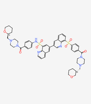 O=C(c1ccc(S(=O)(=O)c2cccc3cc(-c4cc(S(=O)(=O)Nc5ccc(C(=O)N6CCN(C[C@@H]7CCCCO7)CC6)cc5)c5ncccc5c4)cnc23)cc1)N1CCN(C[C@H]2CCCOC2)CC1